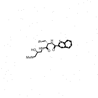 CNC[C@@H](O)CNC(=O)[C@H](CC(C)C)NC(=O)c1cc2ccccc2s1